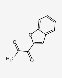 CC(=O)C(=O)c1cc2ccccc2o1